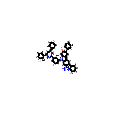 c1ccc(-c2cc(-c3ccccc3)nc(-c3cccc(-n4c5cc6[nH]c7ccccc7c6cc5c5cc6c(cc54)oc4ccccc46)c3)n2)cc1